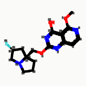 COc1nccc2nc(OC[C@@]34CCCN3C[C@H](F)C4)nc(O)c12